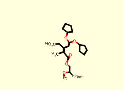 CCCCCC(COC(=O)C(C)=C(CC(=O)O)CC(OC1CCCC1)OC1CCCC1)OCC